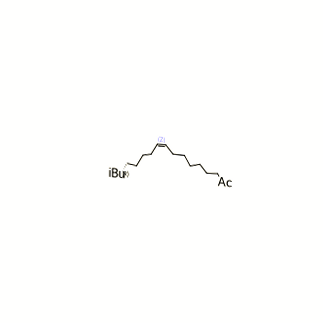 CC[C@@H](C)CCCC/C=C\CCCCCCC(C)=O